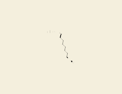 CCCCCC=CCCCCCC=C=O